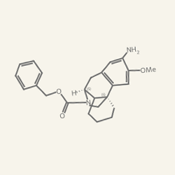 COc1cc2c(cc1N)C[C@H]1C3CCCC[C@@]23CCN1C(=O)OCc1ccccc1